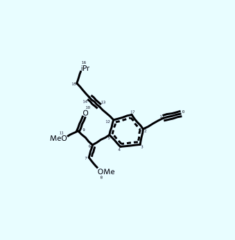 C#Cc1ccc(/C(=C\OC)C(=O)OC)c(C#CCC(C)C)c1